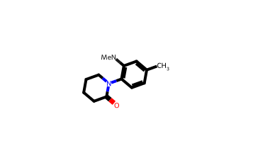 CNc1cc(C)ccc1N1CCCCC1=O